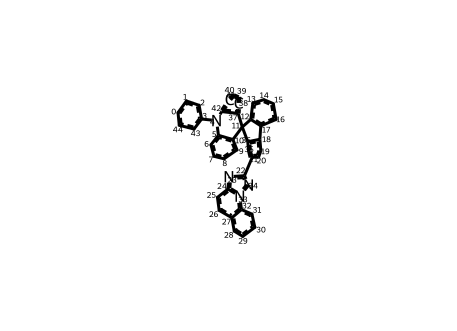 c1ccc(N2c3ccccc3C3(c4ccccc4-c4ccc(-c5nc6ccc7ccccc7n6n5)cc43)c3ccccc32)cc1